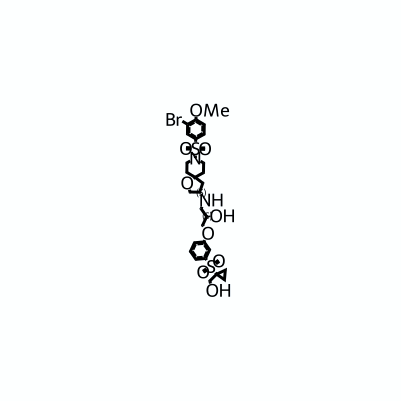 COc1ccc(S(=O)(=O)N2CCC3(CC2)C[C@H](NC[C@H](O)COc2cccc(S(=O)(=O)C4(CO)CC4)c2)CO3)cc1Br